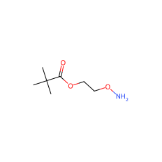 CC(C)(C)C(=O)OCCON